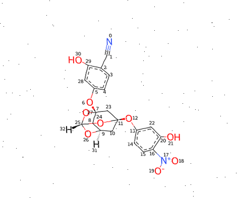 N#Cc1ccc(O[C@]23C[C@H]4C[C@@](Oc5ccc([N+](=O)[O-])c(O)c5)(C2)O[C@H](O4)O3)cc1O